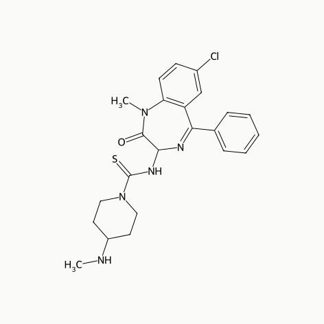 CNC1CCN(C(=S)NC2N=C(c3ccccc3)c3cc(Cl)ccc3N(C)C2=O)CC1